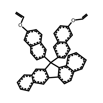 C=COc1ccc2cc(C3(c4ccc5cc(OC=C)ccc5c4)c4cc5ccccc5cc4-c4ccc5ccccc5c43)ccc2c1